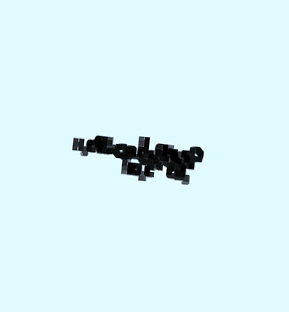 Cc1cc(N(C)c2nc(C(=O)O)c(CC(O)COc3ccc(C#CCN(C)C)cc3F)s2)nnc1Nc1nc2ccccc2s1